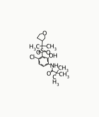 CC(C)(C)C(=O)Nc1ccc(Cl)c(S(=O)(=O)C(C)(C)C2CCOC2)c1O